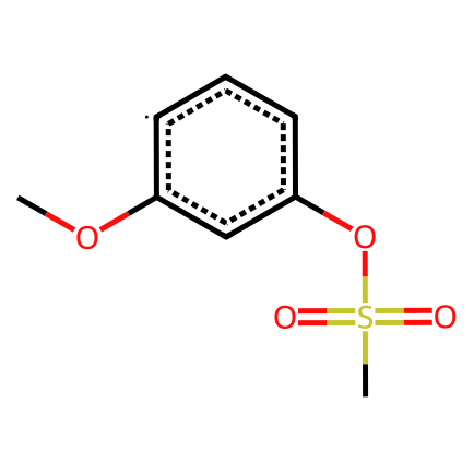 COc1[c]ccc(OS(C)(=O)=O)c1